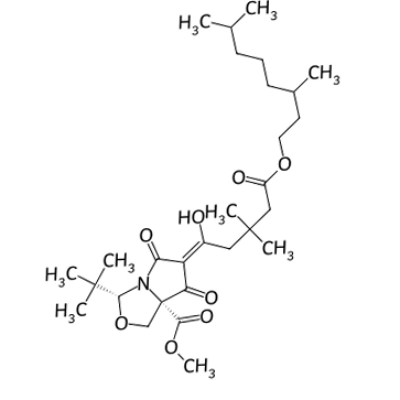 COC(=O)[C@]12CO[C@H](C(C)(C)C)N1C(=O)/C(=C(\O)CC(C)(C)CC(=O)OCCC(C)CCCC(C)C)C2=O